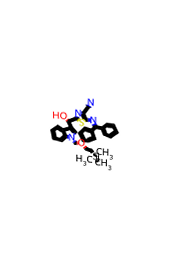 C[Si](C)(C)CCOCn1cc(C(O)c2nc(C#N)c(N=C(c3ccccc3)c3ccccc3)s2)c2ccccc21